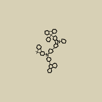 CC1(C)c2ccccc2-c2cc(N(c3ccc(-c4ccc5c(c4)c4cc(C6(c7ccccc7)c7ccccc7-c7ccccc76)ccc4n5-c4ccccc4)cc3)c3ccc(-c4cc5ccccc5c5ccccc45)cc3)ccc21